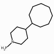 PN1CCC(C2CCCCCCC2)CC1